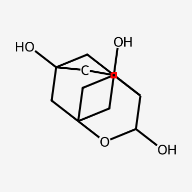 OC1OC23CC4CC(O)(C2)CC(O)(C3)C41